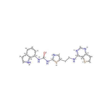 O=C(Nc1ncc(CCNc2ncnc3ccsc23)s1)Nc1cccc2cc[nH]c12